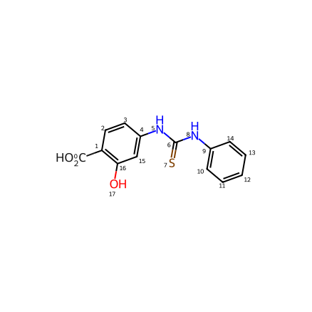 O=C(O)c1ccc(NC(=S)Nc2ccccc2)cc1O